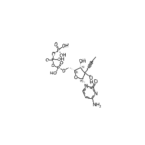 CC#CC1(O)[C@@H](O)[C@@H](COP(=O)(O)OP(=O)(O)OP(=O)(O)O)O[C@H]1n1ccc(N)nc1=O